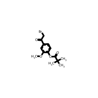 COc1cc(C(=O)CBr)ccc1OC(=O)C(C)(C)C